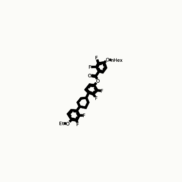 CCCCCCOc1ccc(C(=O)Oc2ccc(C3CCC(c4ccc(OCC)c(F)c4F)CC3)c(F)c2F)c(F)c1F